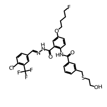 O=C(Nc1ccc(OCCCCF)cc1C(=O)NN=Cc1ccc(Cl)c(C(F)(F)F)c1)c1cccc(CSCCO)c1